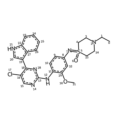 CCN1CCS(=O)(=Nc2ccc(Nc3ncc(Cl)c(-c4c[nH]c5ccccc45)n3)c(OC)c2)CC1